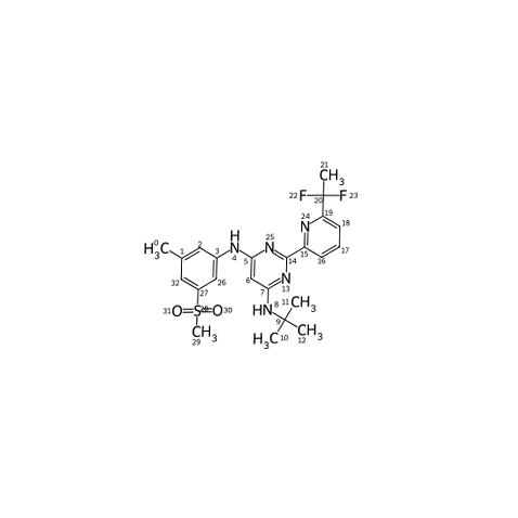 Cc1cc(Nc2cc(NC(C)(C)C)nc(-c3cccc(C(C)(F)F)n3)n2)cc(S(C)(=O)=O)c1